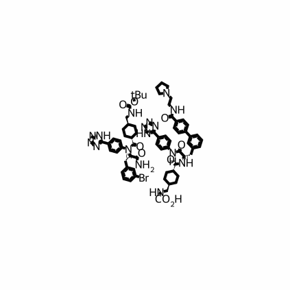 CC(C)(C)OC(=O)NC[C@H]1CC[C@H](C(=O)N(c2ccc(-c3nnn[nH]3)cc2)[C@@H](Cc2cccc(Br)c2)C(N)=O)CC1.O=C(O)NC[C@H]1CC[C@H](C(=O)N[C@@H](Cc2cccc(-c3ccc(C(=O)NCCN4CCCC4)cc3)c2)C(=O)Nc2ccc(-c3nnn[nH]3)cc2)CC1